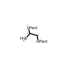 BC(CCCCC)CCCCCC